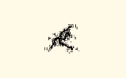 CCC(=O)OCC(=O)OCC(=O)OCC(=O)OC(C)C(=O)OCC(COC(=O)C(C)OC(=O)COC(=O)COC(=O)CC)(COC(=O)C(C)OC(=O)COC(=O)COC(=O)CC)COC(=O)C(C)OC(=O)COC(=O)COC(=O)COC(=O)C(C)C